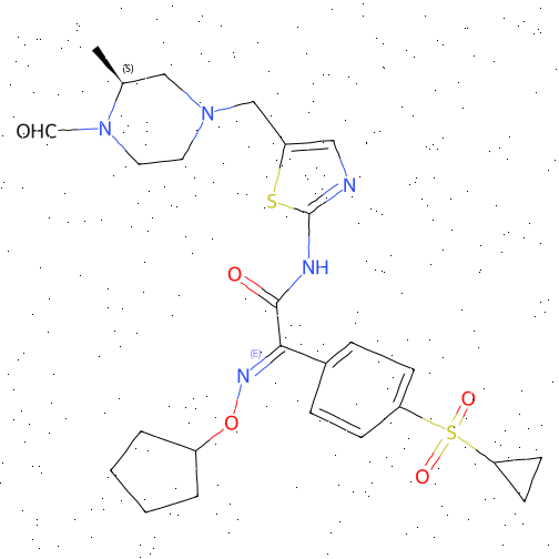 C[C@H]1CN(Cc2cnc(NC(=O)/C(=N/OC3CCCC3)c3ccc(S(=O)(=O)C4CC4)cc3)s2)CCN1C=O